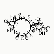 CCC1CC(N(C)C)C(O)[C@H](O[C@@H]2[C@@H](C)C(=O)C(C)C(=O)O[C@H](CC)[C@@]3(C)OC(=O)N[C@@H]3[C@@H](C)N(C)C[C@H](C)C[C@@]2(C)OC)O1